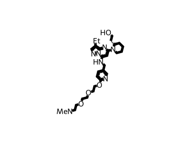 CCc1cnn2c(NCc3ccc(OCCOCCOCCNC)nc3)cc(N3CCCC[C@H]3CCO)nc12